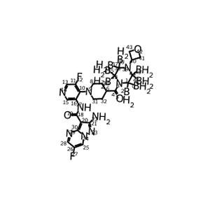 BC1(B)N(C(=O)C2CCN(c3c(F)cncc3NC(=O)c3c(N)nn4cc(F)cnc34)CC2)C(B)(B)C(B)(B)N(C2COC2)C1(B)B